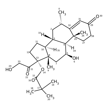 C[C@H]1C[C@@H]2[C@H]([C@@H](O)C[C@@]3(C)[C@H]2CC[C@]3(OC(=O)C(C)(C)C)C(=O)CO)[C@@]2(C)CCC(=O)C=C12